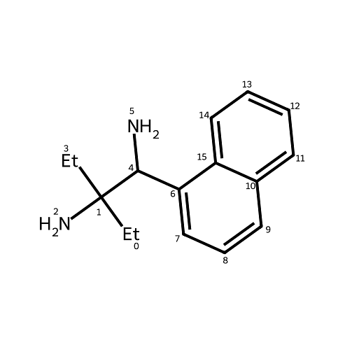 CCC(N)(CC)C(N)c1cccc2ccccc12